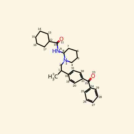 CC(CN1CCCCC1NC(=O)C1CCCCC1)c1ccc(C(=O)c2ccccc2)cc1